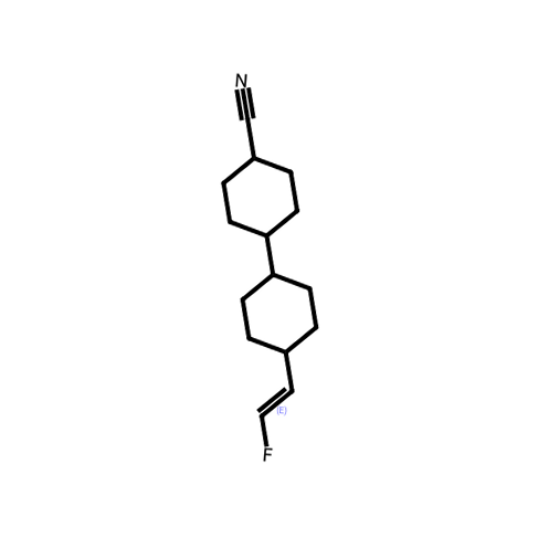 N#CC1CCC(C2CCC(/C=C/F)CC2)CC1